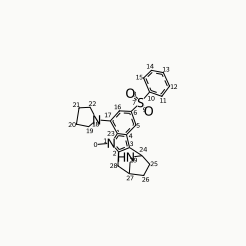 Cn1c2c(c3cc(S(=O)(=O)c4ccccc4)cc(N4CCCC4)c31)C1CCC(C2)N1